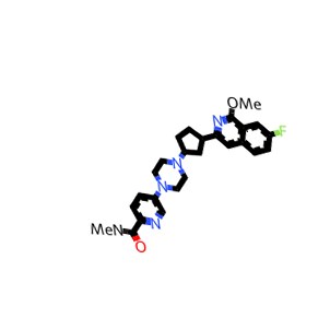 CNC(=O)c1ccc(N2CCN(C3CCC(c4cc5ccc(F)cc5c(OC)n4)C3)CC2)cn1